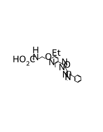 CCc1cc(-c2noc(-c3cc(-c4ccccc4)n(C)n3)n2)c(C)nc1OCCCNC(=O)O